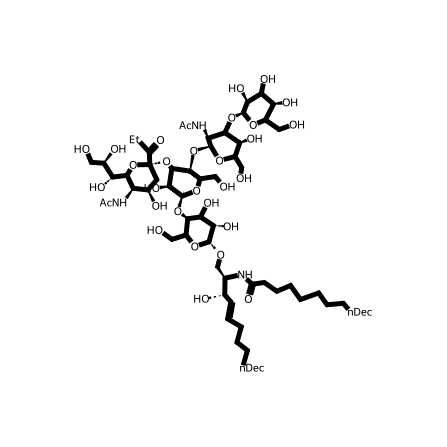 CCCCCCCCCCCCC/C=C/[C@H](O)[C@@H](CO[C@@H]1OC(CO)[C@@H](O[C@@H]2OC(CO)[C@H](O[C@@H]3OC(CO)[C@H](O)C(O[C@@H]4OC(CO)[C@H](O)C(O)[C@@H]4O)[C@@H]3NC(C)=O)C(O[C@]3(C(=O)CC)C[C@@H](O)[C@@H](NC(C)=O)C([C@H](O)[C@H](O)CO)O3)[C@@H]2O)C(O)[C@@H]1O)NC(=O)CCCCCCCCCCCCCCCCC